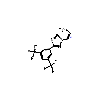 C/C=C\n1cnc(-c2cc(C(F)(F)F)cc(C(F)(F)F)c2)n1